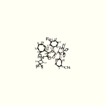 N#Cc1ccnc(N2[C@H](C(=O)N(c3cccc(F)c3)[C@@H](C(=O)NC3CC(F)(F)C3)c3ccccc3Cl)CNS2(=O)=O)c1